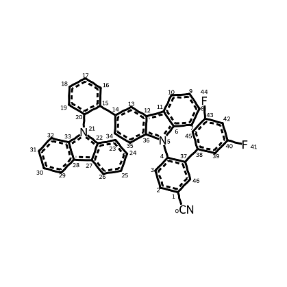 N#Cc1ccc(-n2c3ccccc3c3cc(-c4ccccc4-n4c5ccccc5c5ccccc54)ccc32)c(-c2cc(F)cc(F)c2)c1